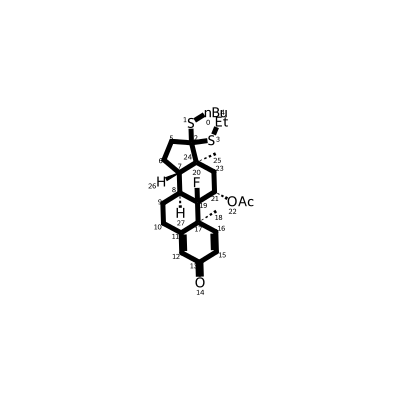 CCCCSC1(SCC)CC[C@H]2[C@@H]3CCC4=CC(=O)C=C[C@]4(C)C3(F)[C@@H](OC(C)=O)C[C@@]21C